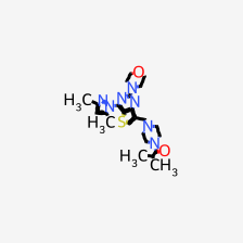 Cc1cc(C)n(-c2nc(N3CCOCC3)nc3c(CN4CCN(C(=O)C(C)C)CC4)csc23)n1